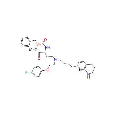 COC(=O)C(CCN(CCCCc1ccc2c(n1)NCCC2)CCOc1ccc(F)cc1)NC(=O)OCc1ccccc1